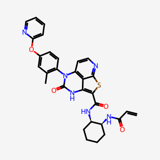 C=CC(=O)N[C@H]1CCCC[C@H]1NC(=O)c1sc2nccc3c2c1NC(=O)N3c1ccc(Oc2ccccn2)cc1C